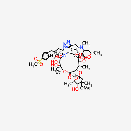 CC[C@H]1OC(=O)[C@H](C)[C@@H](O[C@H]2C[C@@](C)(OC)[C@@H](O)[C@H](C)O2)[C@H](C)[C@@H](O[C@@H]2O[C@H](C)C[C@H](N(C)CCc3cn([C@H](CO)CCCc4ccc(S(C)(=O)=O)cc4)nn3)[C@H]2O)[C@](C)(O)C[C@@H](C)CN(C)[C@H](C)[C@@H](O)[C@]1(C)O